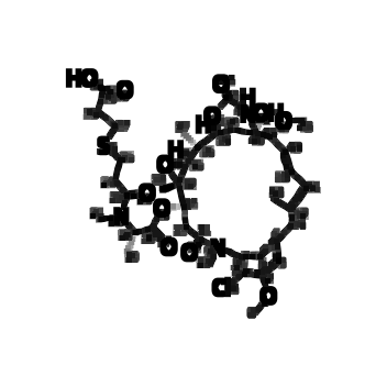 COc1cc2cc(c1Cl)N(C)C(=O)C[C@H](OC(=O)[C@H](C)N(C)C(=O)CCSCCC(=O)O)[C@]1(C)O[C@H]1[C@H](C)[C@@H]1C[C@@](O)(NC(=O)O1)[C@H](OC)/C=C/C=C(\C)C2